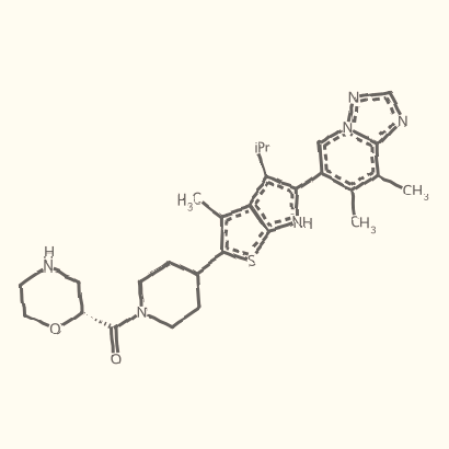 Cc1c(-c2[nH]c3sc(C4CCN(C(=O)[C@H]5CNCCO5)CC4)c(C)c3c2C(C)C)cn2ncnc2c1C